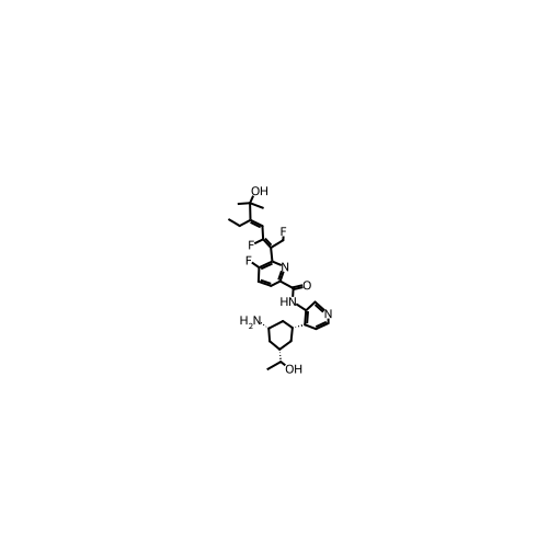 CC/C(=C\C(F)=C(/CF)c1nc(C(=O)Nc2cnccc2[C@H]2C[C@@H](N)C[C@@H](C(C)O)C2)ccc1F)C(C)(C)O